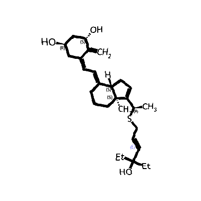 C=C1C(=CC=C2CCC[C@]3(C)C([C@@H](C)SC/C=C/C(O)(CC)CC)=CC[C@@H]23)C[C@@H](O)C[C@@H]1O